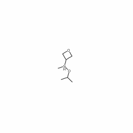 CC(C)O[SiH](C)C1COC1